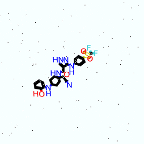 N#CCC1(NC(=O)c2c[nH]nc2Nc2ccc(S(=O)(=O)C(F)F)cc2)CCC(Nc2ccccc2O)CC1